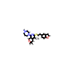 CN1CCCN(c2nc(SCCc3ccc4c(c3)CCO4)c(C#N)c3c2COC(C)(C)C3)CC1